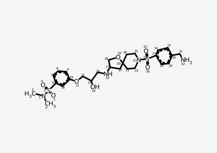 CN(C)S(=O)(=O)c1cccc(OCC(O)CNC2COC3(CCN(S(=O)(=O)c4ccc(CN)cc4)CC3)C2)c1